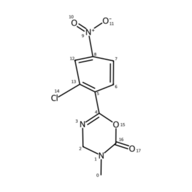 CN1CN=C(c2ccc([N+](=O)[O-])cc2Cl)OC1=O